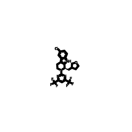 FC(F)(F)c1cc(C(F)(F)F)nc(N2CCc3c([nH]c4ccc(Cl)cc34)[C@@H]2CC2CCOC2)n1